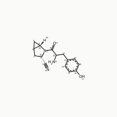 N#C[C@@H]1CC2C[C@@H]2N1C(=O)C(N)Cc1ccc(O)cc1